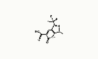 Cn1nc(C(F)(F)F)c2cc(C(=O)O)c(=O)[nH]c21